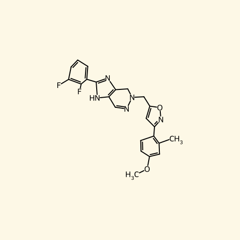 COc1ccc(-c2cc(CN3Cc4nc(-c5cccc(F)c5F)[nH]c4C=N3)on2)c(C)c1